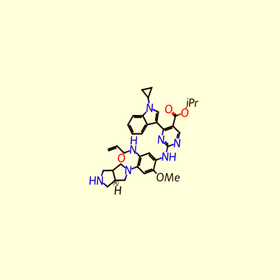 C=CC(=O)Nc1cc(Nc2ncc(C(=O)OC(C)C)c(-c3cn(C4CC4)c4ccccc34)n2)c(OC)cc1N1CC2CNC[C@@H]2C1